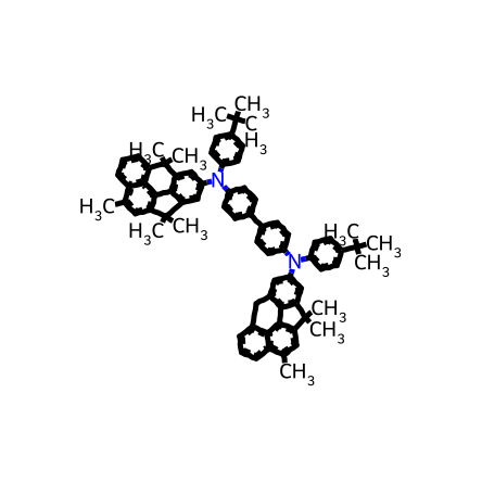 Cc1cc2c3c4c(cccc14)Cc1cc(N(c4ccc(-c5ccc(N(c6ccc(C(C)(C)C)cc6)c6cc7c8c(c6)C(C)(C)c6cccc9c(C)cc(c-8c69)C7(C)C)cc5)cc4)c4ccc(C(C)(C)C)cc4)cc(c1-3)C2(C)C